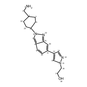 NCC1CCC(n2cc3ccc(-c4cnn(CCO)c4)cc3n2)CC1